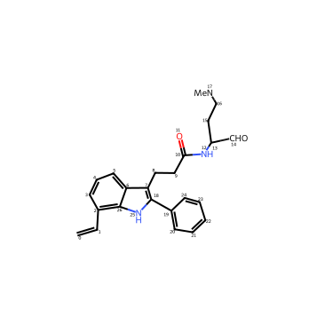 C=Cc1cccc2c(CCC(=O)NC(C=O)CCNC)c(-c3ccccc3)[nH]c12